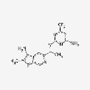 Cc1sc2cnc(C(C)Sc3nc(N)cc(C(F)(F)F)n3)cc2c1N